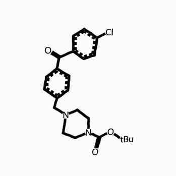 CC(C)(C)OC(=O)N1CCN(Cc2ccc(C(=O)c3ccc(Cl)cc3)cc2)CC1